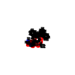 CCC(=O)OC(COC(c1ccccc1)(c1ccccc1)c1ccccc1)C1OC(=O)C(OP(=O)(N(C)C)N(C)C)=C1OCc1ccccc1